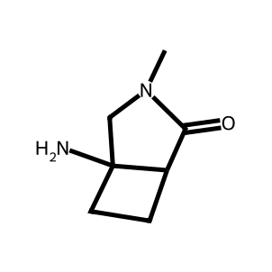 CN1CC2(N)CCC2C1=O